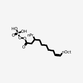 CCCCCCCC/C=C\CCCCCC(CCC)CC(=O)OOP(=O)(O)O